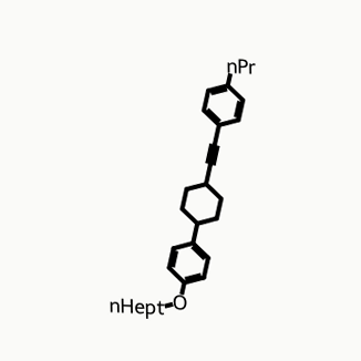 CCCCCCCOc1ccc(C2CCC(C#Cc3ccc(CCC)cc3)CC2)cc1